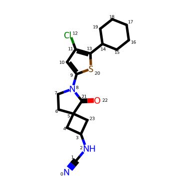 N#CNC1CC2(CCN(c3cc(Cl)c(C4CCCCC4)s3)C2=O)C1